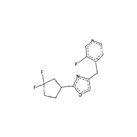 Fc1cnccc1Cc1coc(C2CCC(F)(F)C2)n1